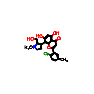 Cc1ccc(Cl)c(-c2cc(=O)c3c(O)cc(O)c(C4CCN(C)C4CO)c3o2)c1